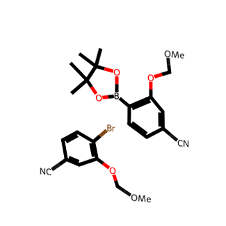 COCOc1cc(C#N)ccc1B1OC(C)(C)C(C)(C)O1.COCOc1cc(C#N)ccc1Br